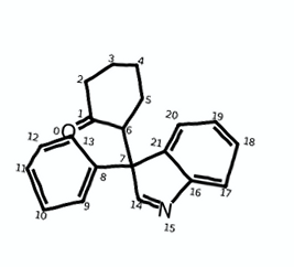 O=C1CCCCC1C1(c2ccccc2)C=Nc2ccccc21